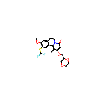 COc1cc2c(cc1SC(F)F)-c1c(C)c(OC[C@@H]3COCCO3)cc(=O)n1CC2